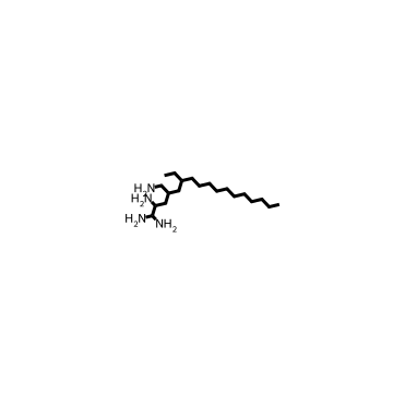 CCCCCCCCCCCC(CC)CC(CN)CC(N)C(N)N